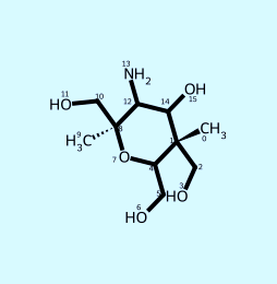 C[C@@]1(CO)C(CO)O[C@@](C)(CO)C(N)C1O